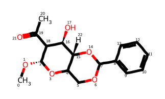 CO[C@H]1OC2COC(c3ccccc3)O[C@H]2[C@H](O)C1C(C)=O